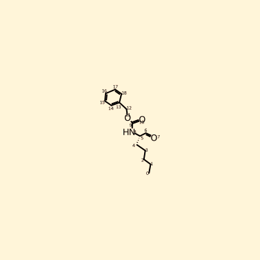 CCCCC[C@@H](C=O)NC(=O)OCc1ccccc1